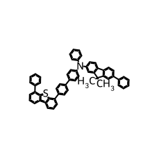 CC1(C)c2cc(-c3ccccc3)ccc2-c2ccc(N(c3ccccc3)c3ccc(-c4ccc(-c5cccc6c5sc5c(-c7ccccc7)cccc56)cc4)cc3)cc21